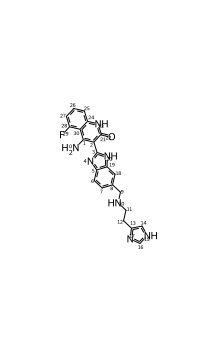 Nc1c(-c2nc3ccc(CNCCc4c[nH]cn4)cc3[nH]2)c(=O)[nH]c2cccc(F)c12